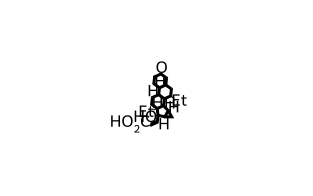 CC[C@H]1CC2=CC(=O)CC[C@@H]2[C@H]2CC[C@@]3(CC)[C@@H]([C@H]4C[C@H]4[C@@]3(O)/C=C\C(=O)O)[C@H]12